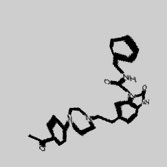 CC(=O)c1ccc(N2CCN(CCc3ccc4[nH]c(=O)n(C(=O)NCc5ccccc5)c4c3)CC2)cc1